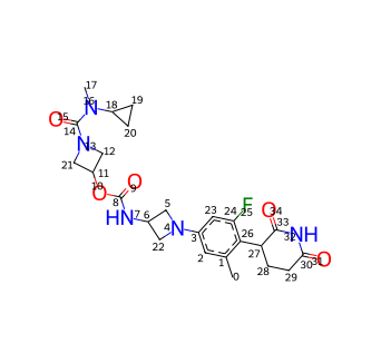 Cc1cc(N2CC(NC(=O)OC3CN(C(=O)N(C)C4CC4)C3)C2)cc(F)c1C1CCC(=O)NC1=O